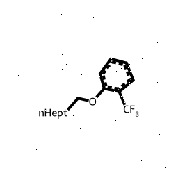 [CH2]CCCCCCCOc1ccccc1C(F)(F)F